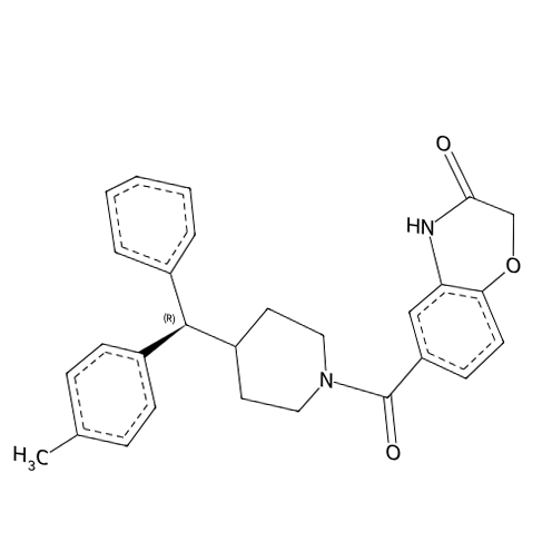 Cc1ccc([C@@H](c2ccccc2)C2CCN(C(=O)c3ccc4c(c3)NC(=O)CO4)CC2)cc1